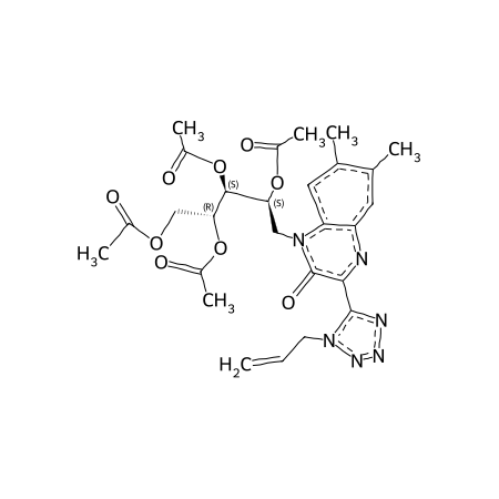 C=CCn1nnnc1-c1nc2cc(C)c(C)cc2n(C[C@H](OC(C)=O)[C@H](OC(C)=O)[C@@H](COC(C)=O)OC(C)=O)c1=O